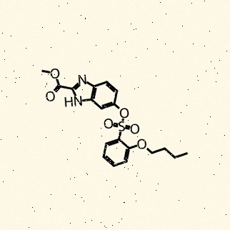 CCCCOc1ccccc1S(=O)(=O)Oc1ccc2nc(C(=O)OC)[nH]c2c1